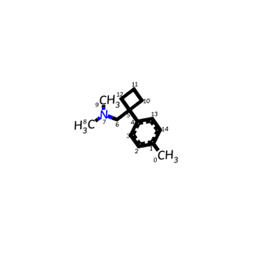 Cc1ccc(C2(CN(C)C)CCC2)cc1